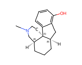 CN1CC[C@]23c4cccc(O)c4C[C@H]2CCC[C@H]3C1